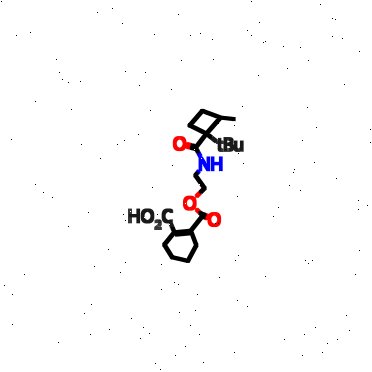 CC1CCC1(C(=O)NCCOC(=O)C1=C(C(=O)O)CCCC1)C(C)(C)C